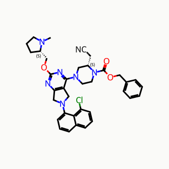 CN1CCC[C@H]1COc1nc2c(c(N3CCN(C(=O)OCc4ccccc4)[C@@H](CC#N)C3)n1)CN(c1cccc3cccc(Cl)c13)C2